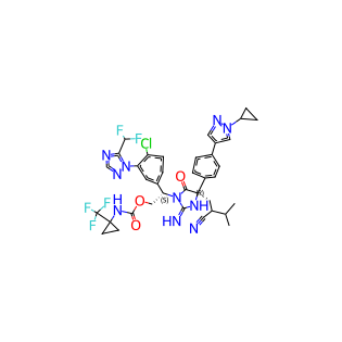 CC(C)C(C#N)C[C@]1(c2ccc(-c3cnn(C4CC4)c3)cc2)NC(=N)N([C@H](COC(=O)NC2(C(F)(F)F)CC2)c2ccc(Cl)c(-n3ncnc3C(F)F)c2)C1=O